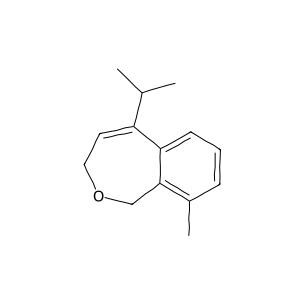 Cc1cccc2c1COCC=C2C(C)C